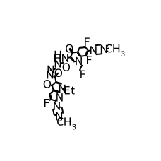 CCn1cc(-c2nnc(NC(=O)Nc3cn(CCF)c4c(F)c(N5CCN(C)CC5)c(F)cc4c3=O)o2)c(=O)c2cc(F)c(N3CCN(C)CC3)nc21